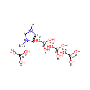 CCN1C=CN(C)C1.OB(O)O.OB(O)O.OB(O)O.OB(O)O